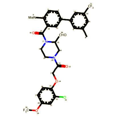 CNc1ccc(-c2cc(C)cc(C(F)(F)F)c2)cc1C(=O)N1CCN(C(=O)COc2ccc(OC(F)(F)F)cc2Cl)CC1C=O